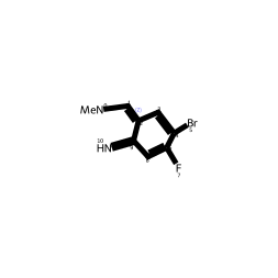 CN/C=C1/C=C(Br)C(F)=CC1=N